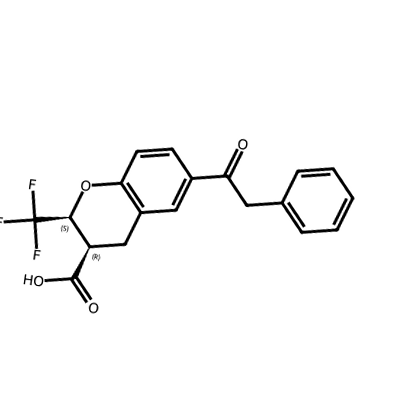 O=C(Cc1ccccc1)c1ccc2c(c1)C[C@@H](C(=O)O)[C@@H](C(F)(F)F)O2